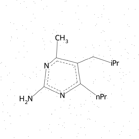 CCCc1nc(N)nc(C)c1CC(C)C